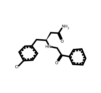 NC(=O)C[C@H](Cc1ccc(Cl)cc1)NCC(=O)c1ccccc1